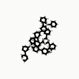 c1ccc(-c2cccc(-n3c4ccccc4c4cc(-c5ccc6oc7cccc(-c8nc(-c9ccccc9)nc(-c9cccc%10oc%11ccc(-c%12ccc%13c(c%12)c%12ccccc%12n%13-c%12ccccc%12)cc%11c9%10)n8)c7c6c5)ccc43)c2)cc1